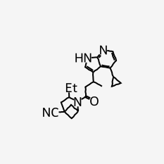 CCC1CC2(C#N)CC(C2)N1C(=O)CC(C)c1c[nH]c2nccc(C3CC3)c12